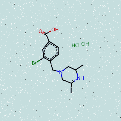 CC1CN(Cc2ccc(C(=O)O)cc2Br)CC(C)N1.Cl.Cl